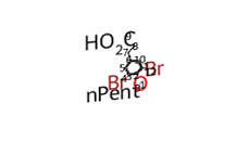 CCCCCOc1c(Br)cc(CCC(=O)O)cc1Br